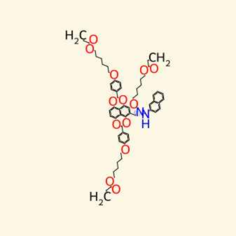 C=CC(=O)OCCCCCCOc1ccc(C(=O)Oc2c(/C=N/Nc3ccc4ccccc4c3)c(OCCCCCCOC(=O)C=C)c(OC(=O)c3ccc(OCCCCCCOC(=O)C=C)cc3)c3ccccc23)cc1